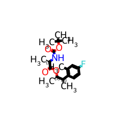 Cc1cc(F)ccc1[C@@H](C)[C@H](C)OC(=O)[C@H](C)NC(=O)OC(C)(C)C